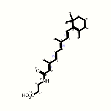 CC1=C(/C=C/C(C)=C/C=C/C(C)=C/C(=O)NCCC(=O)O)C(C)(C)CCC1